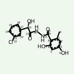 Cc1cc(O)cc(O)c1C(=O)NNC(=O)[C@H](O)c1cccc(Cl)c1